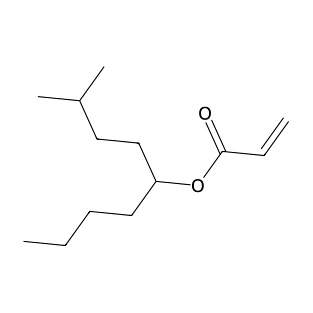 C=CC(=O)OC(CCCC)CCC(C)C